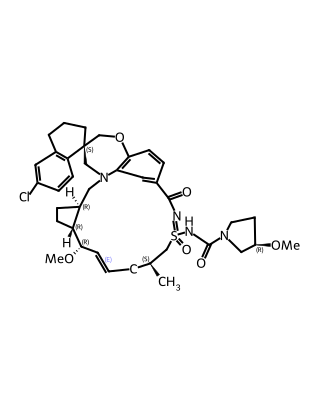 CO[C@@H]1CCN(C(=O)NS2(=O)=NC(=O)c3ccc4c(c3)N(C[C@@H]3CC[C@H]3[C@@H](OC)/C=C/C[C@H](C)C2)C[C@@]2(CCCc3cc(Cl)ccc32)CO4)C1